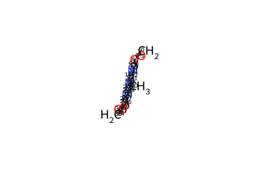 C=CC(=O)CCOc1ccc(N=Nc2ccc(N=Nc3ccc(N=Nc4ccc(OCOC(=O)C=C)cc4)cc3C)cc2)cc1